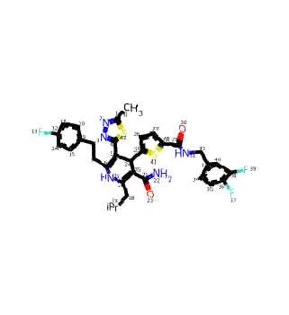 Cc1nnc(C2=C(CCc3ccc(F)cc3)NC(CC(C)C)=C(C(N)=O)C2c2ccc(C(=O)NCc3ccc(F)c(F)c3)s2)s1